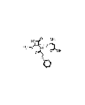 CC(C)=CC(=O)O.CS[C@H]1NC(=O)[C@H]1NC(=O)COc1ccccc1